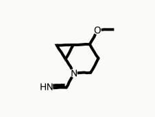 COC1CCN(C=N)C2CC12